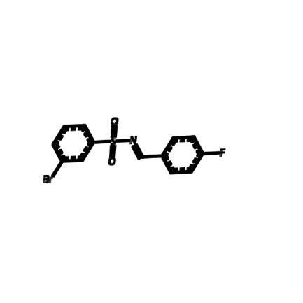 O=S(=O)(/N=C/c1ccc(F)cc1)c1cccc(Br)c1